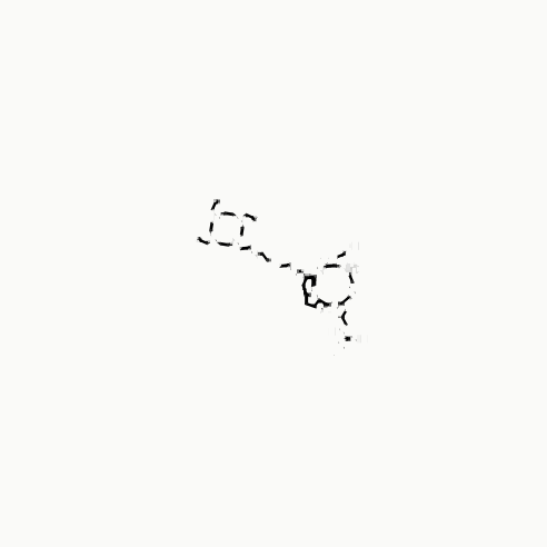 N=C(N)NCCC[C@@H]1NC(=O)[C@@H]2CC[C@H]3C[C@@H](CNC(=O)COCCNC(=O)CN4CCN(CC(=O)O)CCN(CC(=O)O)CCN(CC(=O)O)CC4)[C@@H](NC(=O)[C@H](CC(=O)O)NC(=O)CNC1=O)C(=O)N32